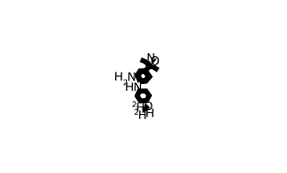 [2H]C([2H])([2H])O[C@H]1CC[C@H](Nc2ccc(-c3c(C)noc3C)cc2N)CC1